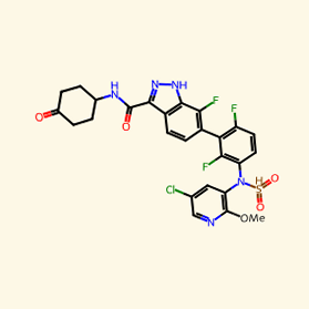 COc1ncc(Cl)cc1N(c1ccc(F)c(-c2ccc3c(C(=O)NC4CCC(=O)CC4)n[nH]c3c2F)c1F)[SH](=O)=O